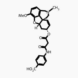 COc1ccc2c3c1O[C@H]1C[C@@H](OC(=O)CC(=O)Nc4ccc(C(=O)O)cc4)C=C[C@@]31CCN(C)C2